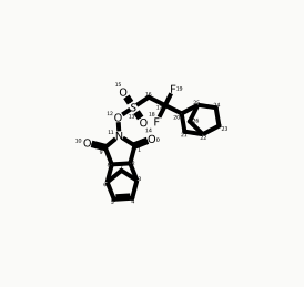 O=C1C2C3C=CC(C3)C2C(=O)N1OS(=O)(=O)CC(F)(F)C1CC2CCC1C2